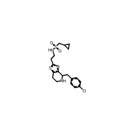 O=S(=O)(CC1CC1)NCCc1nc2c(s1)CCNC2Cc1ccc(Cl)cc1